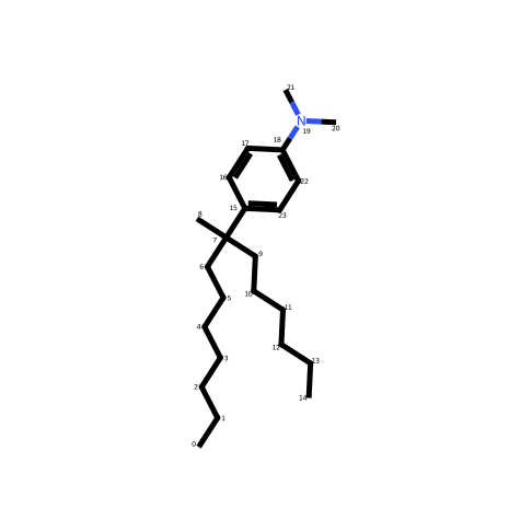 CCCCCCCC(C)(CCCCCC)c1ccc(N(C)C)cc1